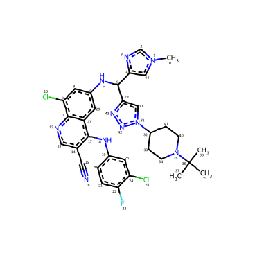 Cn1cnc(C(Nc2cc(Cl)c3ncc(C#N)c(Nc4ccc(F)c(Cl)c4)c3c2)c2cn(C3CCN(C(C)(C)C)CC3)nn2)c1